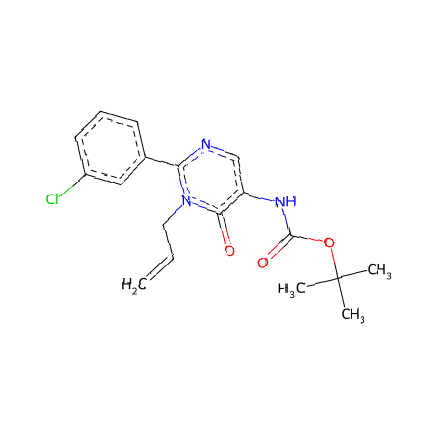 C=CCn1c(-c2cccc(Cl)c2)ncc(NC(=O)OC(C)(C)C)c1=O